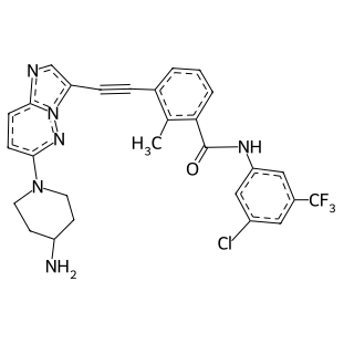 Cc1c(C#Cc2cnc3ccc(N4CCC(N)CC4)nn23)cccc1C(=O)Nc1cc(Cl)cc(C(F)(F)F)c1